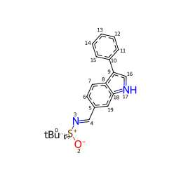 CC(C)(C)[S@@+]([O-])N=Cc1ccc2c(-c3ccccc3)c[nH]c2c1